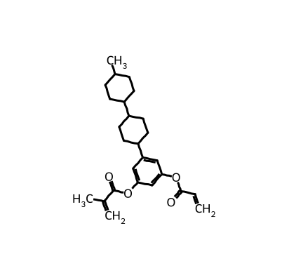 C=CC(=O)Oc1cc(OC(=O)C(=C)C)cc(C2CCC(C3CCC(C)CC3)CC2)c1